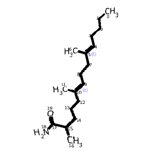 CCCC/C=C(\C)CC/C=C(\C)CCCC(C)C(N)=O